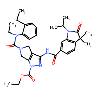 CCOC(=O)n1nc(NC(=O)c2ccc3c(c2)N(C(C)C)C(=O)C3(C)C)c2c1CN(C(=O)N(CC)c1ccccc1CC)C2